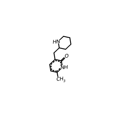 Cc1ccc(CC2CCCCN2)c(=O)[nH]1